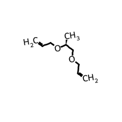 C=CCOC[C@H](C)OCC=C